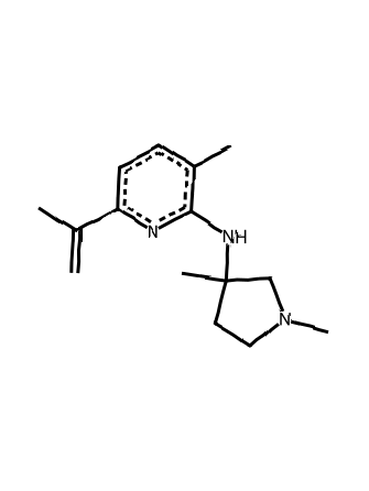 C=C(C)c1ccc(C)c(NC2(C)CCN(C)C2)n1